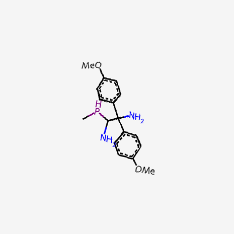 COc1ccc(C(N)(c2ccc(OC)cc2)C(N)PC)cc1